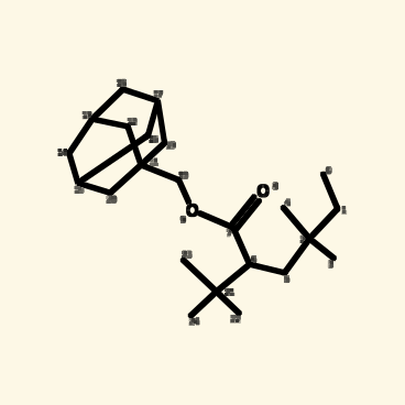 CCC(C)(C)CC(C(=O)OCC12CC3CC(CC(C3)C1)C2)C(C)(C)C